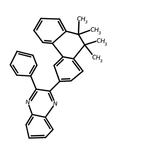 CC1(C)c2ccccc2-c2cc(-c3nc4ccccc4nc3-c3ccccc3)ccc2C1(C)C